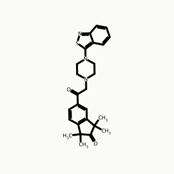 CC1(C)C(=O)C(C)(C)c2cc(C(=O)CN3CCN(c4snc5ccccc45)CC3)ccc21